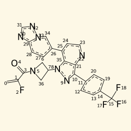 C=C(F)C(=O)N1CC(n2nc(-c3ccc(C(F)(F)F)cc3)c3nccc(-c4ccc5ncnn5c4)c32)C1